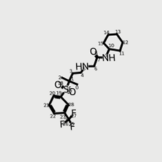 CC(C)(CCNCC(=O)NC1CCCCC1)S(=O)(=O)c1cccc(C(F)(F)F)c1